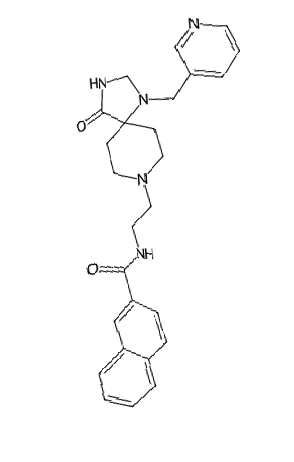 O=C(NCCN1CCC2(CC1)C(=O)NCN2Cc1cccnc1)c1ccc2ccccc2c1